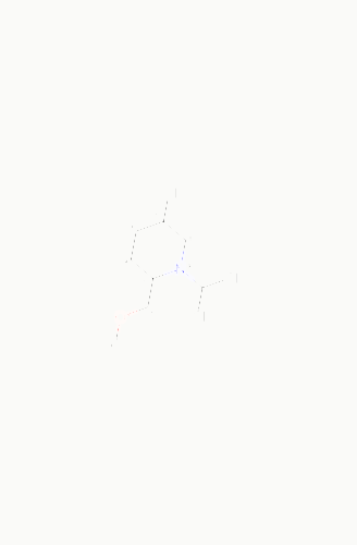 COCC1CCC(C)CN1C(C)C